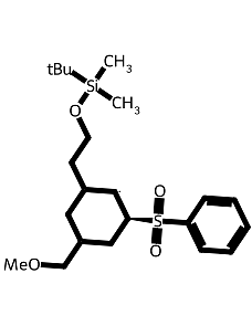 COCC1CC(CCO[Si](C)(C)C(C)(C)C)[CH][C@@H](S(=O)(=O)c2ccccc2)C1